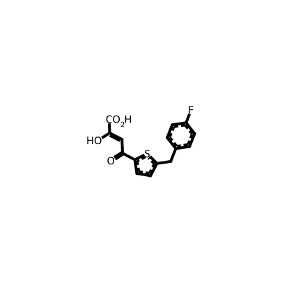 O=C(O)C(O)=CC(=O)c1ccc(Cc2ccc(F)cc2)s1